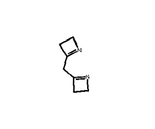 C1CC(CC2=NCC2)=N1